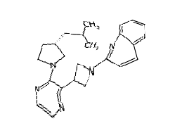 CC(C)C[C@H]1CCN(c2nccnc2C2CN(c3ccc4ccccc4n3)C2)C1